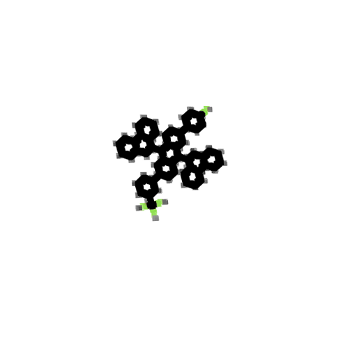 Fc1ccc(-c2ccc3c(-c4cc5ccccc5c5ccccc45)c4cc(-c5cccc(C(F)(F)F)c5)ccc4c(-c4cc5ccccc5c5ccccc45)c3c2)cc1